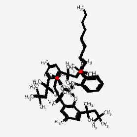 CCCCCCCCCc1ccccc1OP(Oc1c(C(C)(C)CC(C)(C)C)cc(C)cc1C(C)(C)CC(C)(C)C)Oc1c(C(C)(C)CC(C)(C)C)cc(C)cc1C(C)(C)CC(C)(C)C